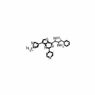 Cn1cc(-c2csc3c(C(N)C(N)Cc4ccccc4)nc(-c4ccncc4)nc23)cn1